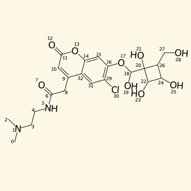 CN(C)CCNC(=O)Cc1cc(=O)oc2cc(OC(O)C3(O)C(O)C(O)C3CO)c(Cl)cc12